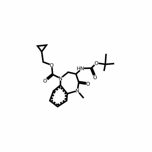 CN1C(=O)C(NC(=O)OC(C)(C)C)CN(C(=O)OCC2CC2)c2ccccc21